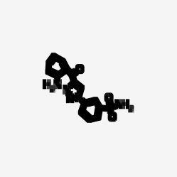 Nc1ccccc1C(=O)c1cn(-c2cccc(S(N)(=O)=O)c2)nn1